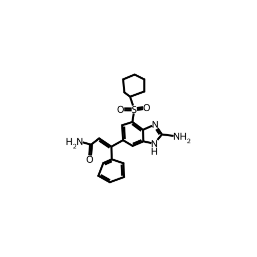 NC(=O)C=C(c1ccccc1)c1cc(S(=O)(=O)C2CCCCC2)c2nc(N)[nH]c2c1